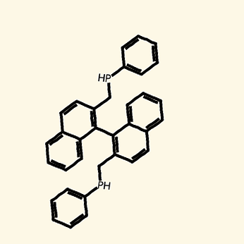 c1ccc(PCc2ccc3ccccc3c2-c2c(CPc3ccccc3)ccc3ccccc23)cc1